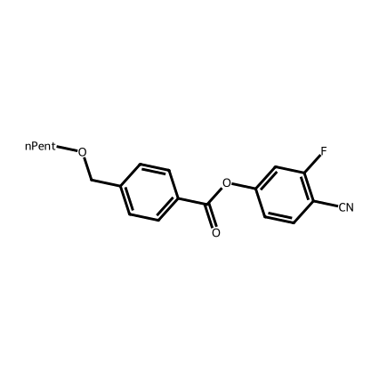 CCCCCOCc1ccc(C(=O)Oc2ccc(C#N)c(F)c2)cc1